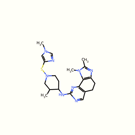 Cc1nc2c(n1C)-c1nc(NC3CCN(Sc4cn(C)cn4)CC3C)ncc1CC2